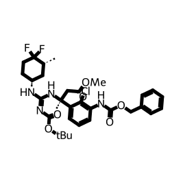 COC(=O)C[C@](C)(N/C(=N\C(=O)OC(C)(C)C)N[C@@H]1CCC(F)(F)[C@H](C)C1)c1cccc(NC(=O)OCc2ccccc2)c1Cl